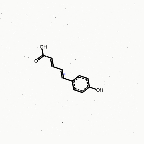 O=C(O)C=C/C=C/c1ccc(O)cc1